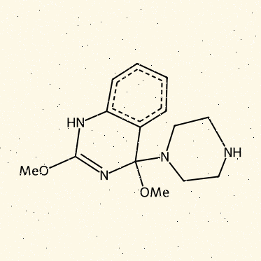 COC1=NC(OC)(N2CCNCC2)c2ccccc2N1